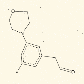 O=CCc1cc(F)cc(N2CCOCC2)c1